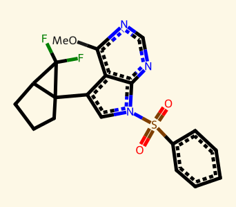 COc1ncnc2c1c(C13CCCC1C3(F)F)cn2S(=O)(=O)c1ccccc1